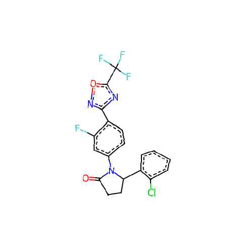 O=C1CCC(c2ccccc2Cl)N1c1ccc(-c2noc(C(F)(F)F)n2)c(F)c1